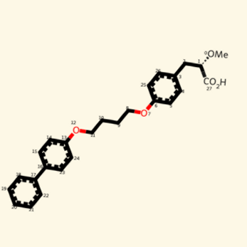 CO[C@@H](Cc1ccc(OCCCCOc2ccc(-c3ccccc3)cc2)cc1)C(=O)O